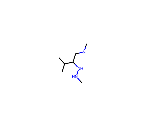 CNCC(NNC)C(C)C